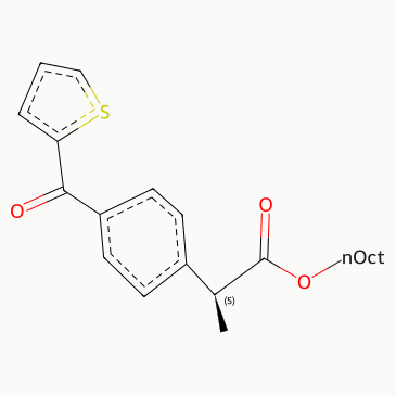 CCCCCCCCOC(=O)[C@@H](C)c1ccc(C(=O)c2cccs2)cc1